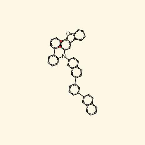 c1ccc(-c2ccccc2N(c2ccc3ccc(-c4cccc(-c5ccc6ccccc6c5)c4)cc3c2)c2ccc3oc4ccccc4c3c2)cc1